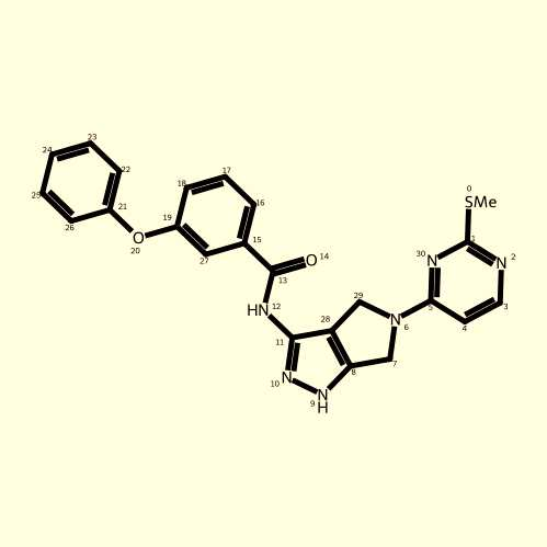 CSc1nccc(N2Cc3[nH]nc(NC(=O)c4cccc(Oc5ccccc5)c4)c3C2)n1